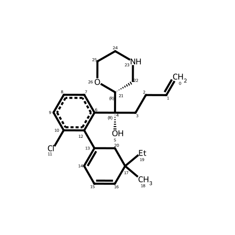 C=CCC[C@@](O)(c1cccc(Cl)c1C1=CC=CC(C)(CC)C1)[C@H]1CNCCO1